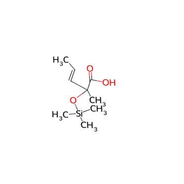 CC=CC(C)(O[Si](C)(C)C)C(=O)O